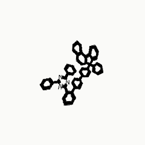 c1ccc(-c2nc(-c3ccccc3)nc(-c3ccccc3-c3ccc(-c4ccc(C5(c6ccccc6)c6ccccc6-c6c5ccc5ccccc65)cc4)cc3)n2)cc1